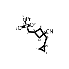 CCCS(=O)(=O)CC1CC(C#N)(CC2CC2)C1